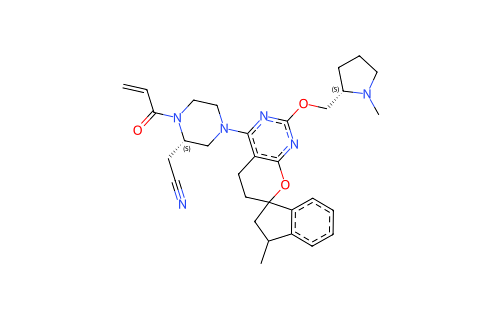 C=CC(=O)N1CCN(c2nc(OC[C@@H]3CCCN3C)nc3c2CCC2(CC(C)c4ccccc42)O3)C[C@@H]1CC#N